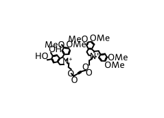 COc1ccc(CC2c3cc(OC)c(OC)cc3CC[N+]2(C)CCCOC(=O)C#CC(=O)OCCC[N+]2(C)CCc3cc(CO)c(CO)cc3C2c2ccc(OC)c(OC)c2)cc1OC